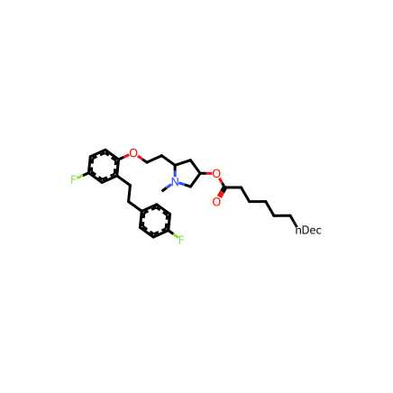 CCCCCCCCCCCCCCCC(=O)OC1CC(CCOc2ccc(F)cc2CCc2ccc(F)cc2)N(C)C1